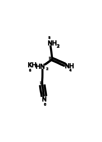 N#CNC(=N)N.[KH]